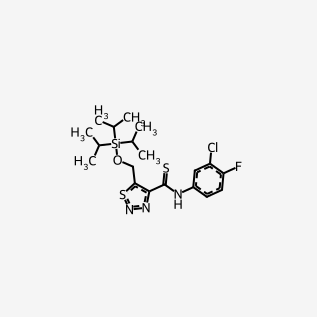 CC(C)[Si](OCc1snnc1C(=S)Nc1ccc(F)c(Cl)c1)(C(C)C)C(C)C